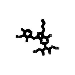 C=CCCc1nn(Cc2ncc(C)c(OC)c2C)c2nc(N(C(=O)OC(C)(C)C)C(=O)OC(C)(C)C)nc(Cl)c12